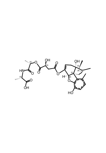 Cc1ccc(O)c2c1[C@]13CCN(C)[C@H](C)[C@]1(O)CC=C(OC(=O)C[C@H](O)C(=O)O[C@@H](C)C(=O)N[C@@H](C)C(=O)O)[C@@H]3O2